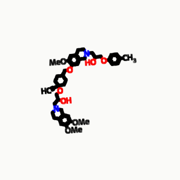 C#CC1(OCC(O)CN2CCc3cc(OC)c(OC)cc3C2)CCC(COc2cc3c(cc2OC)CCN(CC(O)COc2ccc(C)cc2)C3)CC1